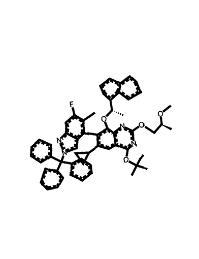 CO[C@@H](C)COc1nc(OC(C)(C)C)c2cc(C3CC3)c(-c3c(C)c(F)cc4nn(C(c5ccccc5)(c5ccccc5)c5ccccc5)cc34)c(O[C@@H](C)c3cccc4ccccc34)c2n1